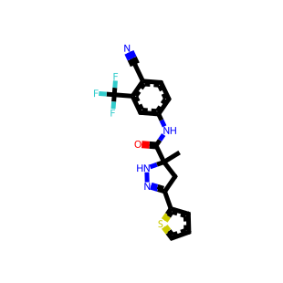 CC1(C(=O)Nc2ccc(C#N)c(C(F)(F)F)c2)CC(c2cccs2)=NN1